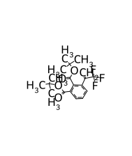 C=C(c1cccc(C(=O)OC(C)(C)C)c1C(=O)OC(C)(C)C)C(F)(F)F